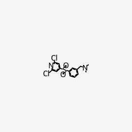 CN(C)Cc1cccc(S(=O)(=O)c2cc(Cl)nc(Cl)c2)c1